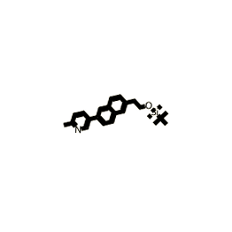 Cc1ccc(-c2ccc3cc(CCO[Si](C)(C)C(C)(C)C)ccc3c2)cn1